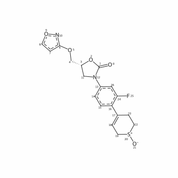 O=C1O[C@@H](COc2ccon2)CN1c1ccc(C2=CC[S+]([O-])CC2)c(F)c1